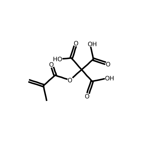 C=C(C)C(=O)OC(C(=O)O)(C(=O)O)C(=O)O